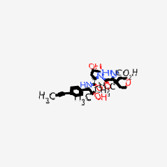 CC#Cc1ccc([C@@H](NC(=O)[C@@H]2C[C@@H](O)CN2C(=O)C(NC(=O)O)C2(C)CCOCC2)C(C)(C)O)cc1